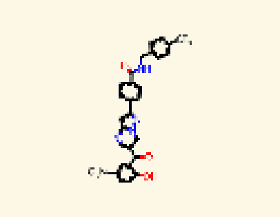 O=C(NCc1ccc(C(F)(F)F)cc1)c1ccc(-c2cc3ncc(C(=O)c4cc([N+](=O)[O-])ccc4O)cn3n2)cc1